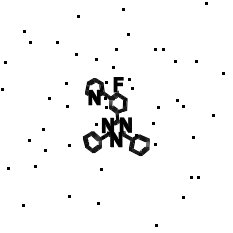 Fc1ccc(-c2nc(-c3ccccc3)nc(-c3ccccc3)n2)cc1-c1ccccn1